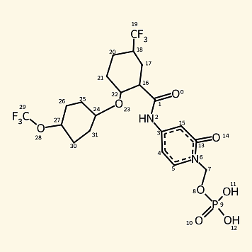 O=C(Nc1ccn(COP(=O)(O)O)c(=O)c1)C1CC(C(F)(F)F)CCC1OC1CCC(OC(F)(F)F)CC1